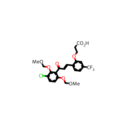 COCOc1ccc(Cl)c(OCOC)c1C(=O)/C=C/c1ccc(C(F)(F)F)cc1OCCC(=O)O